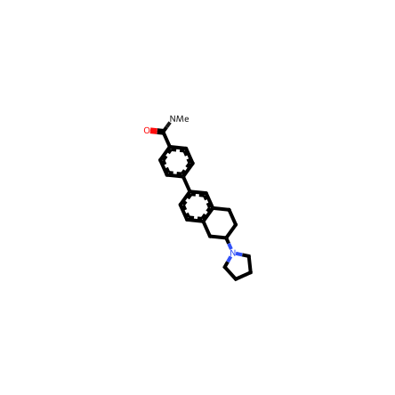 CNC(=O)c1ccc(-c2ccc3c(c2)CCC(N2CCCC2)C3)cc1